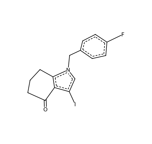 O=C1CCCc2c1c(I)cn2Cc1ccc(F)cc1